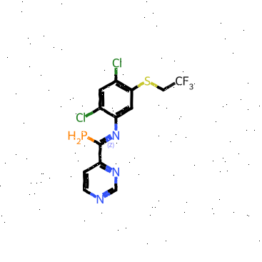 FC(F)(F)CSc1cc(/N=C(\P)c2ccncn2)c(Cl)cc1Cl